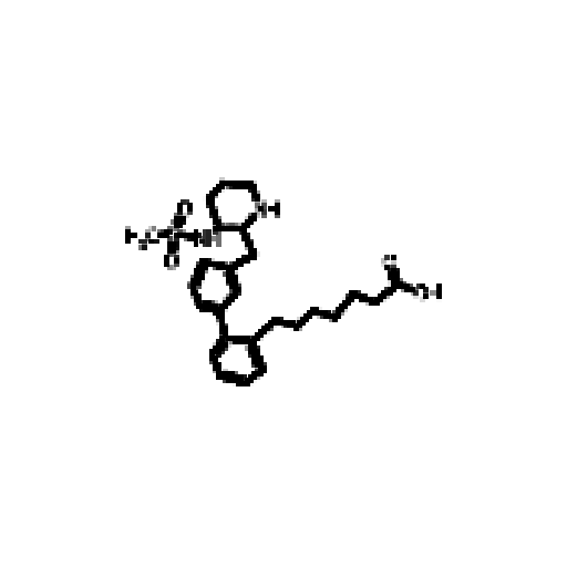 CS(=O)(=O)NC1CCCNC1Cc1cccc(-c2ccccc2CCCCCCC(=O)O)c1